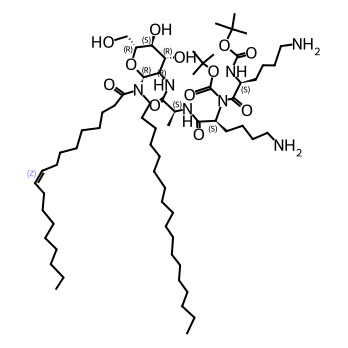 CCCCCCCC/C=C\CCCCCCCC(=O)N(CCCCCCCCCCCCCCCCCC)[C@@H]1O[C@H](CO)[C@@H](O)[C@H](O)[C@H]1NC(=O)[C@H](C)NC(=O)[C@H](CCCCN)N(C(=O)OC(C)(C)C)C(=O)[C@H](CCCCN)NC(=O)OC(C)(C)C